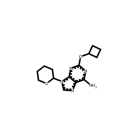 Nc1nc(OC2CCC2)nc2c1ncn2C1CCCCO1